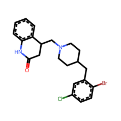 O=C1CC(CN2CCC(Cc3cc(Cl)ccc3Br)CC2)c2ccccc2N1